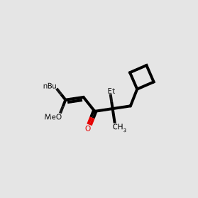 CCCC/C(=C/C(=O)C(C)(CC)CC1CCC1)OC